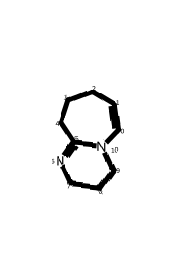 [C]1=CCCCC2=NCCCN12